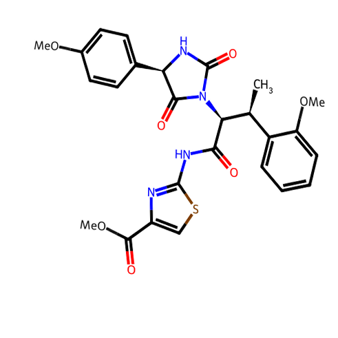 COC(=O)c1csc(NC(=O)[C@H]([C@@H](C)c2ccccc2OC)N2C(=O)N[C@H](c3ccc(OC)cc3)C2=O)n1